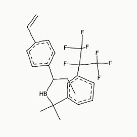 C=Cc1ccc(C(BC(C)(C)c2cccc(C(F)(C(F)(F)F)C(F)(F)F)c2)CC)cc1